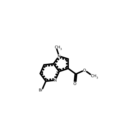 COC(=O)c1cn(C)c2ccc(Br)nc12